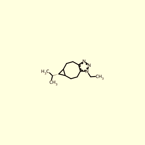 CCn1nnc2c1CCC1C(CC2)[C@H]1C(C)C